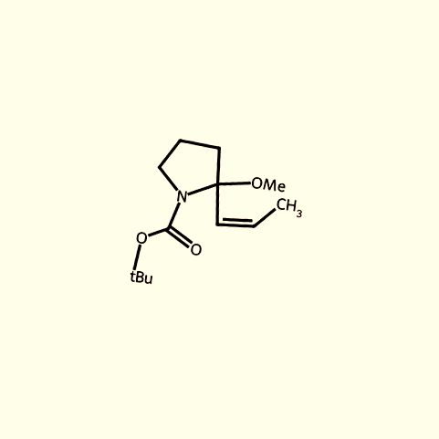 C/C=C\C1(OC)CCCN1C(=O)OC(C)(C)C